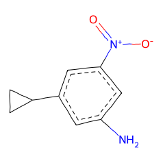 Nc1cc(C2CC2)cc([N+](=O)[O-])c1